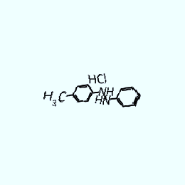 Cc1ccc(NNc2ccccc2)cc1.Cl